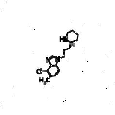 Cc1ccc2c(ncn2CCC[C@@H]2CCCCN2)c1Cl